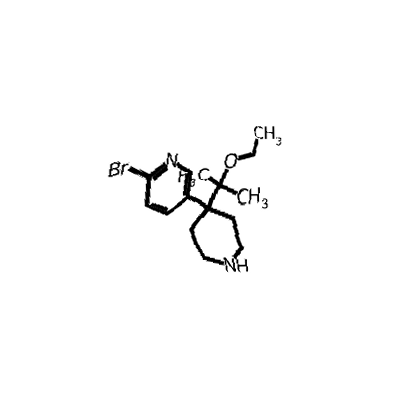 CCOC(C)(C)C1(c2ccc(Br)nc2)CCNCC1